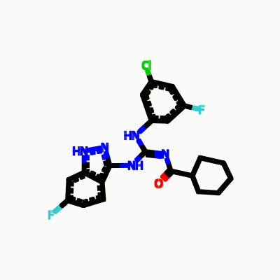 O=C(/N=C(/Nc1cc(F)cc(Cl)c1)Nc1n[nH]c2cc(F)ccc12)C1CCCCC1